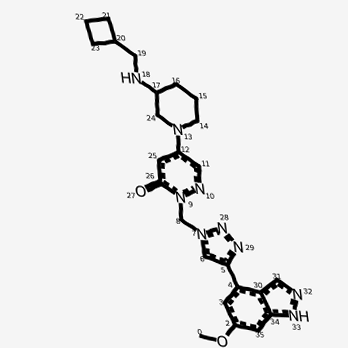 COc1cc(-c2cn(Cn3ncc(N4CCCC(NCC5CCC5)C4)cc3=O)nn2)c2cn[nH]c2c1